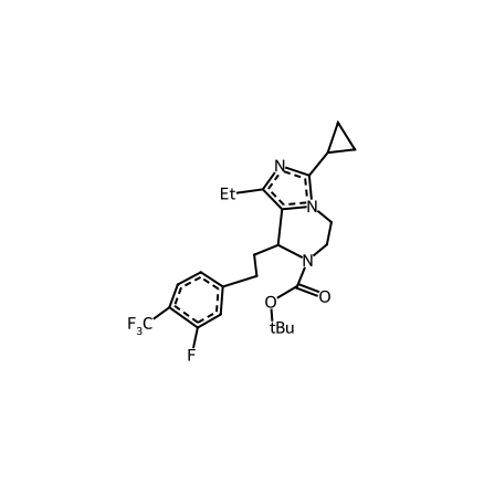 CCc1nc(C2CC2)n2c1C(CCc1ccc(C(F)(F)F)c(F)c1)N(C(=O)OC(C)(C)C)CC2